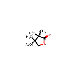 CC(=O)O[C@]1(C)COC(=O)C1(C)C